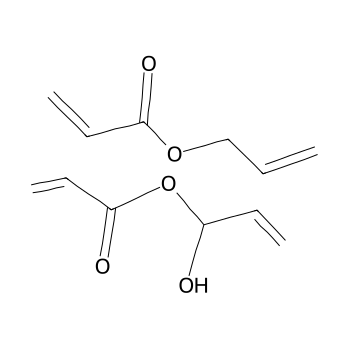 C=CC(=O)OC(O)C=C.C=CCOC(=O)C=C